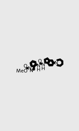 COC(=O)n1ncc2c(NC(=O)NC3CCc4cc(N5CCCCCC5)ccc43)cccc21